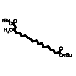 CCCCOC(=O)CCCCCCCCCCCCCCCC(C)CC(=O)OCCCC